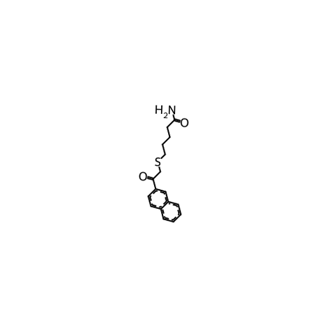 NC(=O)CCCCSCC(=O)c1ccc2ccccc2c1